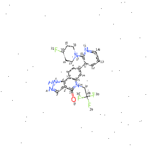 O=c1c2cn[nH]c2c2ccc(-c3cccnc3N3CCC(F)CC3)cc2n1CC(F)(F)F